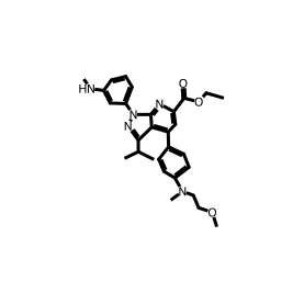 CCOC(=O)c1cc(-c2ccc(N(C)CCOC)cc2)c2c(C(C)C)nn(-c3cccc(NC)c3)c2n1